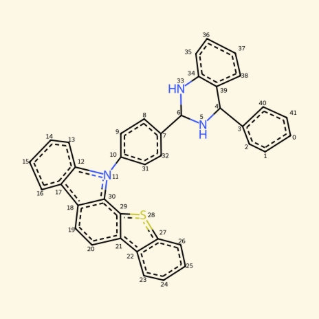 c1ccc(C2NC(c3ccc(-n4c5ccccc5c5ccc6c7ccccc7sc6c54)cc3)Nc3ccccc32)cc1